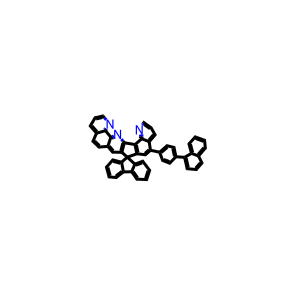 c1ccc2c(c1)-c1ccccc1C21c2cc3ccc4cccnc4c3nc2-c2c1cc(-c1ccc(-c3cccc4ccccc34)cc1)c1cccnc21